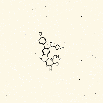 CN1C(=O)NN=C2COc3cc(-c4ccc(Cl)cc4)c(NC4CNC4)cc3C21